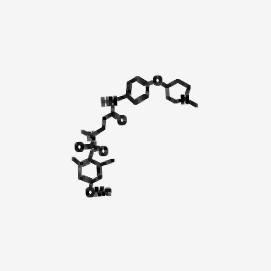 COc1cc(C)c(S(=O)(=O)N(C)CCC(=O)Nc2ccc(OC3CCN(C)CC3)cc2)c(C)c1